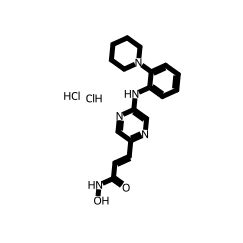 Cl.Cl.O=C(C=Cc1cnc(Nc2ccccc2N2CCCCC2)cn1)NO